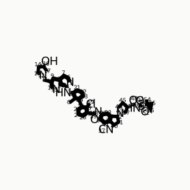 Cc1c(Nc2nccc3cc(CN4CC[C@@H](O)C4)cnc23)cccc1-c1cccc(-c2nc3cc4c(c(C#N)c3o2)CC[C@H]4N2CC[C@@H](C(=O)NS(=O)(=O)C3(C)CC3)C2)c1Cl